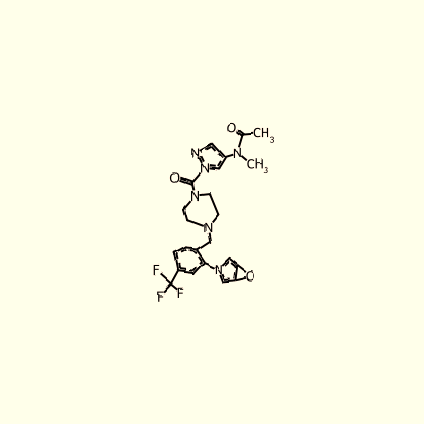 CC(=O)N(C)c1cnn(C(=O)N2CCN(Cc3ccc(C(F)(F)F)cc3-n3cc4c(c3)O4)CC2)c1